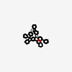 c1ccc(-c2ccc(N(c3ccc4c(c3)oc3ccccc34)c3cc4c(cc3-c3ccc5c(c3)CCCC5)-c3ccccc3C4(c3ccccc3)c3ccccc3)cc2)cc1